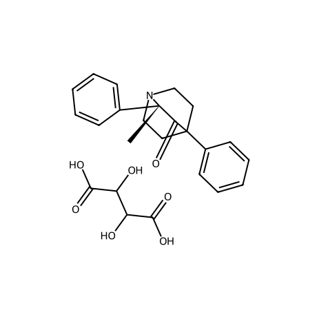 C[C@]1(c2ccccc2)C(=O)C2(c3ccccc3)CCN1CC2.O=C(O)C(O)C(O)C(=O)O